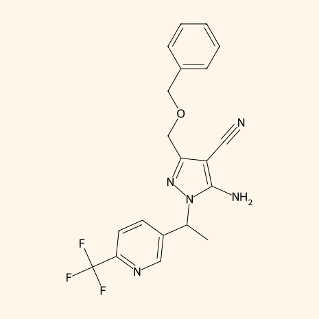 CC(c1ccc(C(F)(F)F)nc1)n1nc(COCc2ccccc2)c(C#N)c1N